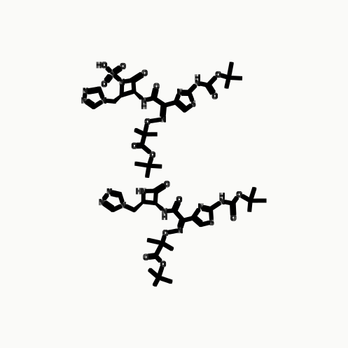 CC(C)(C)OC(=O)Nc1nc(/C(=N/OC(C)(C)C(=O)OC(C)(C)C)C(=O)N[C@@H]2C(=O)N(S(=O)(=O)O)[C@@H]2Cn2cnnc2)cs1.CC(C)(C)OC(=O)Nc1nc(/C(=N/OC(C)(C)C(=O)OC(C)(C)C)C(=O)N[C@@H]2C(=O)N[C@@H]2Cn2cnnc2)cs1